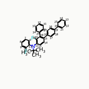 CC(C)(C)N(c1ccccc1F)c1ccc(-c2ccc(-c3ccccc3)cc2)c(-c2ccccc2)c1F